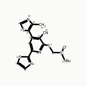 CCCC[S+]([O-])CSc1nc(-c2nccs2)cc(-c2scnc2C)c1C#N